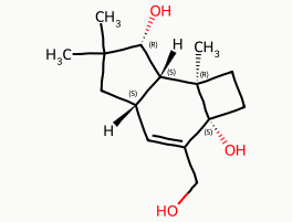 CC1(C)C[C@H]2C=C(CO)[C@]3(O)CC[C@]3(C)[C@H]2[C@H]1O